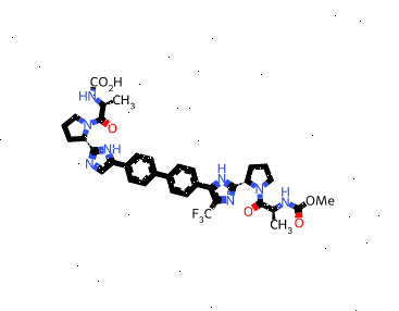 COC(=O)N[C@@H](C)C(=O)N1CCC[C@H]1c1nc(C(F)(F)F)c(-c2ccc(-c3ccc(-c4cnc([C@@H]5CCCN5C(=O)[C@H](C)NC(=O)O)[nH]4)cc3)cc2)[nH]1